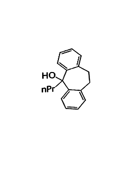 CCCC1(O)c2ccccc2CCc2ccccc21